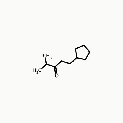 CC(C)C(=O)CCC1CCCC1